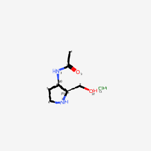 CC(=O)N[C@@H]1CCN[C@@H]1CO.Cl